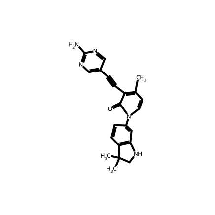 Cc1ccn(-c2ccc3c(c2)NCC3(C)C)c(=O)c1C#Cc1cnc(N)nc1